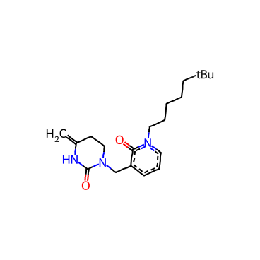 C=C1CCN(Cc2cccn(CCCCCC(C)(C)C)c2=O)C(=O)N1